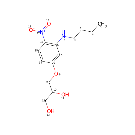 CCCCNc1cc(OCC(O)CO)ccc1[N+](=O)[O-]